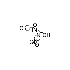 COc1ccc(C(=O)NC[C@@H](CO)N2CCN(S(C)(=O)=O)CC2)cc1